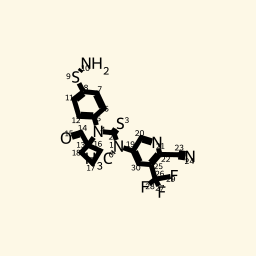 CN(C(=S)N(c1ccc(SN)cc1)C1(C=O)CCC1)c1cnc(C#N)c(C(F)(F)F)c1